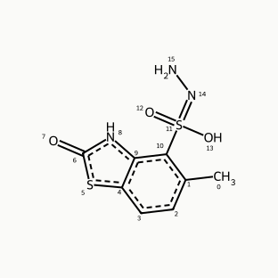 Cc1ccc2sc(=O)[nH]c2c1S(=O)(O)=NN